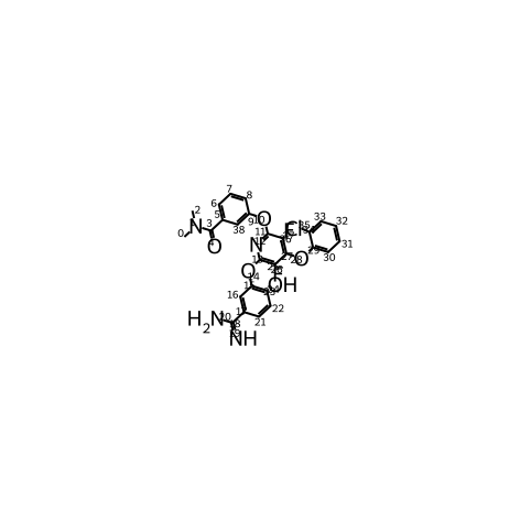 CN(C)C(=O)c1cccc(Oc2nc(Oc3cc(C(=N)N)ccc3O)c(F)c(Oc3ccccc3Cl)c2F)c1